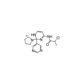 CC(Cl)C(=O)NC1=NC(c2cncnc2)(N2CCC[C@@H]2C)NC=C1